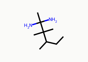 CCC(C)C(C)(C)C(C)(N)N